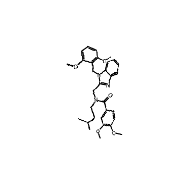 COc1ccc(C(=O)N(CCC(C)C)Cc2nc3ccccc3n2Cc2c(OC)cccc2OC)cc1OC